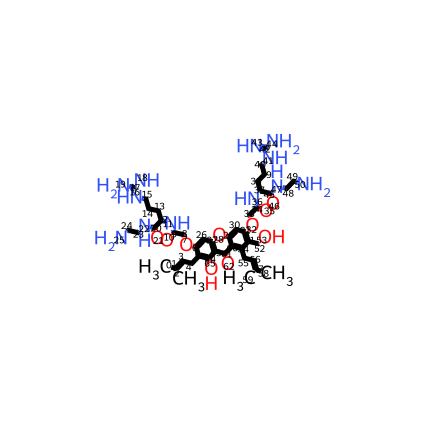 CC(C)=CCc1c(OCC(=O)NC(CCCNC(=N)N)C(=O)NCCN)cc2oc3cc(OCC(=O)NC(CCCNC(=N)N)C(=O)NCCN)c(CO)c(CC=C(C)C)c3c(=O)c2c1O